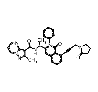 Cc1nn2cccnc2c1C(=O)N[C@@H](C)c1cc2cccc(C#CCN3CCCC3=O)c2c(=O)n1-c1ccccc1